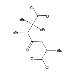 CCCCC(CC(=O)C(CCC)C(CCC)(CCCC)C(=O)Cl)C(=O)Cl